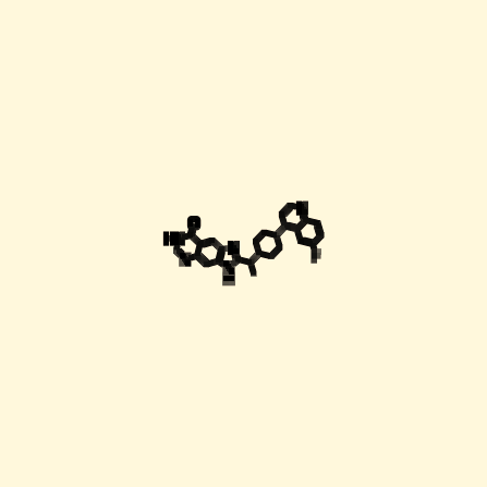 CC(c1nc2cc3c(=O)[nH]cnc3cc2[nH]1)C1CCC(c2ccnc3ccc(F)cc23)CC1